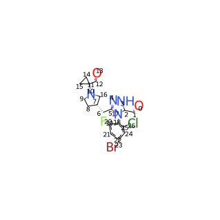 O=CC1NN=C(C[C@@H]2CCN(C3(C=O)CC3)C2)N1c1c(F)cc(Br)cc1Cl